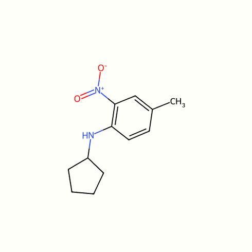 Cc1ccc(NC2CCCC2)c([N+](=O)[O-])c1